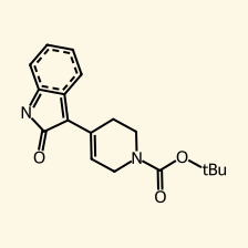 CC(C)(C)OC(=O)N1CC=C(C2=c3ccccc3=NC2=O)CC1